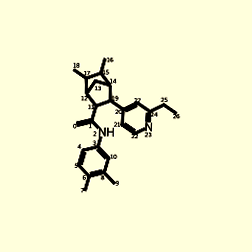 C=C(Nc1ccc(C)c(C)c1)C1C2CC(C(C)C2C)C1c1ccnc(CC)c1